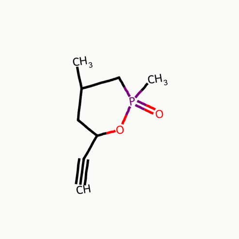 C#CC1CC(C)CP(C)(=O)O1